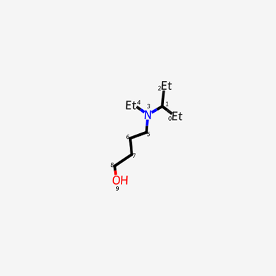 CCC(CC)N(CC)CCCCO